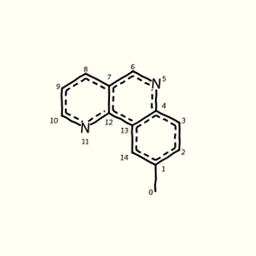 Cc1ccc2ncc3cccnc3c2c1